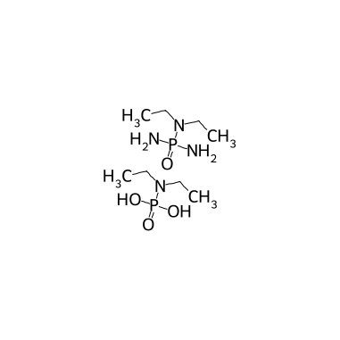 CCN(CC)P(=O)(O)O.CCN(CC)P(N)(N)=O